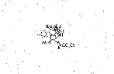 CCCCC1(CCCC)CC(c2ccccc2)c2cc(SC)c(O/C=C(\F)C(=O)OCC)cc2S(O)(O)N1